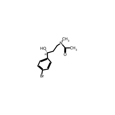 CC(=O)N(C)CC[C@@H](O)c1ccc(Br)cc1